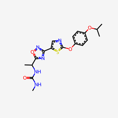 CNC(=O)NC(C)c1nc(-c2cnc(Oc3ccc(OC(C)C)cc3)s2)no1